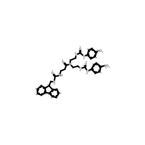 O=C(NCCC(=O)N(CCOC(=O)Oc1ccc([N+](=O)[O-])cc1)CCOC(=O)Oc1ccc([N+](=O)[O-])cc1)OCC1c2ccccc2-c2ccccc21